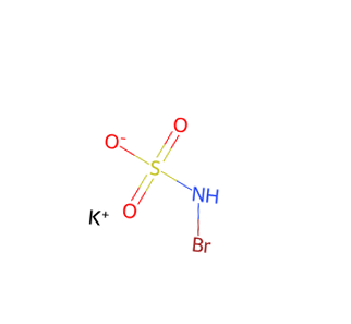 O=S(=O)([O-])NBr.[K+]